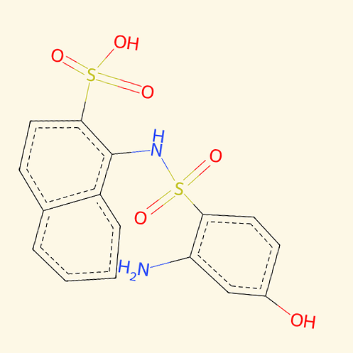 Nc1cc(O)ccc1S(=O)(=O)Nc1c(S(=O)(=O)O)ccc2ccccc12